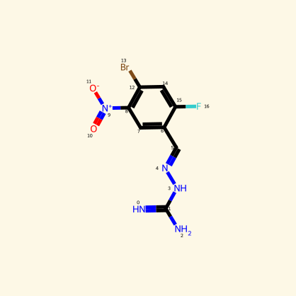 N=C(N)NN=Cc1cc([N+](=O)[O-])c(Br)cc1F